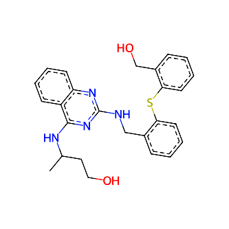 CC(CCO)Nc1nc(NCc2ccccc2Sc2ccccc2CO)nc2ccccc12